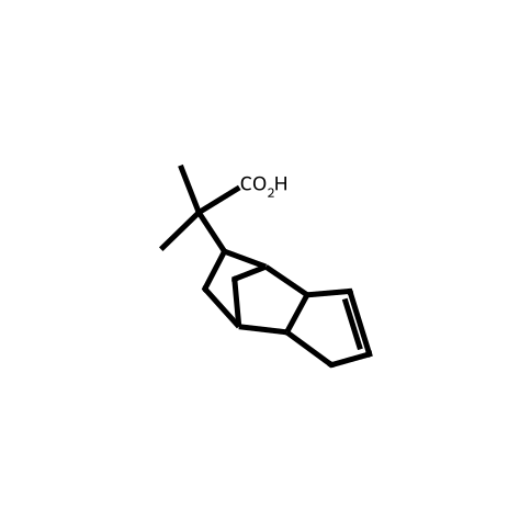 CC(C)(C(=O)O)C1CC2CC1C1C=CCC21